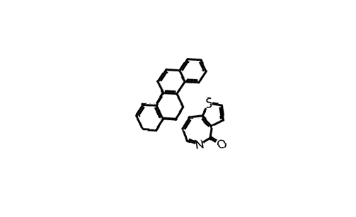 C1=CC2=C(CC1)CCc1c2ccc2ccccc12.O=c1ncccc2sccc12